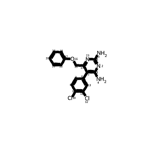 Nc1nc(N)c(-c2ccc(Cl)c(Cl)c2)c(COc2ccccc2)n1